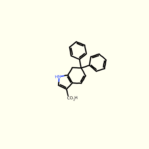 O=C(O)c1c[nH]c2c1C=CC(c1ccccc1)(c1ccccc1)C2